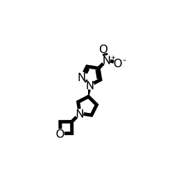 O=[N+]([O-])c1cnn([C@H]2CCN(C3COC3)C2)c1